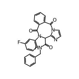 O=C(NCc1ccccc1)C1c2nccn2C(=O)c2ccccc2C(=O)N1c1cccc(F)c1